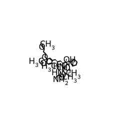 COCCCOc1cc(C[C@@H](C[C@H](NC(=O)C(NC(=O)CN)C(C)C)[C@@H](O)CN2CCCCC2)C(C)C)ccc1OC